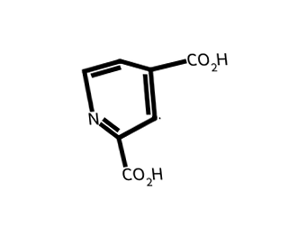 O=C(O)c1[c]c(C(=O)O)ncc1